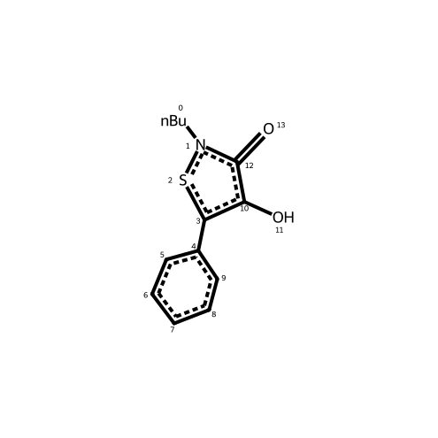 CCCCn1sc(-c2ccccc2)c(O)c1=O